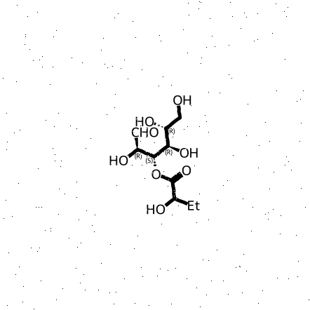 CCC(O)C(=O)O[C@@H]([C@H](O)[C@H](O)CO)[C@@H](O)C=O